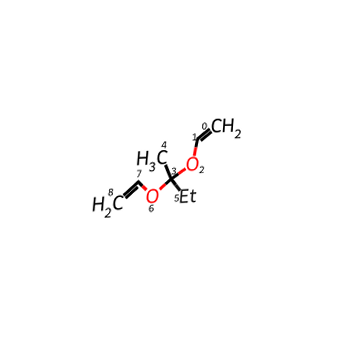 C=COC(C)(CC)OC=C